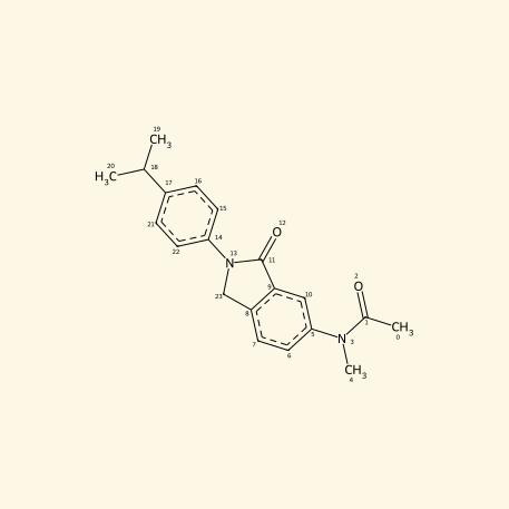 CC(=O)N(C)c1ccc2c(c1)C(=O)N(c1ccc(C(C)C)cc1)C2